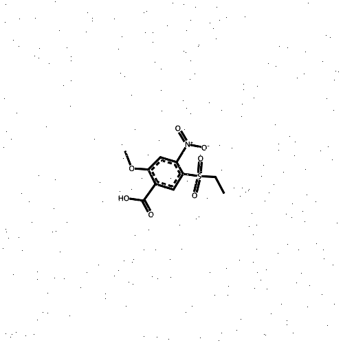 CCS(=O)(=O)c1cc(C(=O)O)c(OC)cc1[N+](=O)[O-]